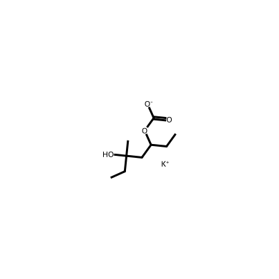 CCC(CC(C)(O)CC)OC(=O)[O-].[K+]